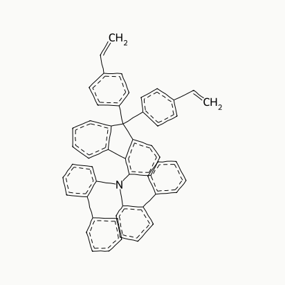 C=Cc1ccc(C2(c3ccc(C=C)cc3)c3ccccc3-c3c(N(c4ccccc4-c4ccccc4)c4ccccc4-c4ccccc4)cccc32)cc1